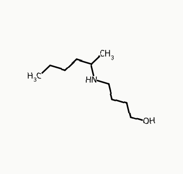 CCCCC(C)NCCCCO